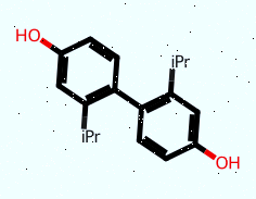 CC(C)c1cc(O)ccc1-c1ccc(O)cc1C(C)C